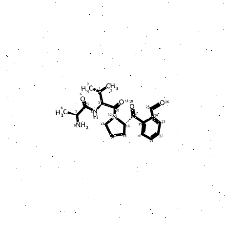 CC(C)[C@H](NC(=O)[C@H](C)N)C(=O)N1CCC[C@H]1C(=O)c1ccccc1[C]=O